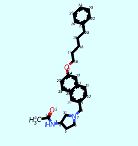 CC(=O)NC1CCN(Cc2ccc3cc(OCCCCCc4ccccc4)ccc3c2)C1